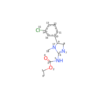 CCOC(=O)NC1=NCC(c2cccc(Cl)c2)N1C